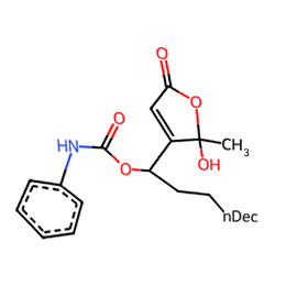 CCCCCCCCCCCCC(OC(=O)Nc1ccccc1)C1=CC(=O)OC1(C)O